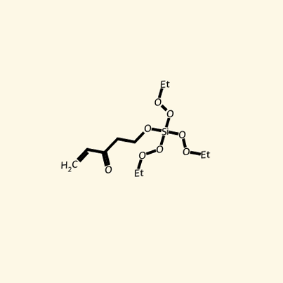 C=CC(=O)CCO[Si](OOCC)(OOCC)OOCC